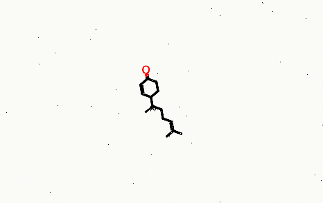 CC(C)=CCC[C@@H](C)C1C=CC(=O)CC1